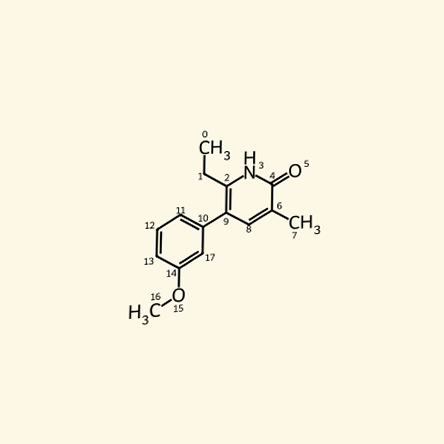 CCc1[nH]c(=O)c(C)cc1-c1cccc(OC)c1